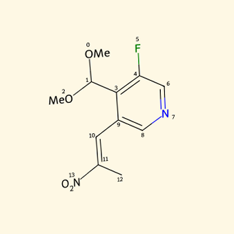 COC(OC)c1c(F)cncc1/C=C(\C)[N+](=O)[O-]